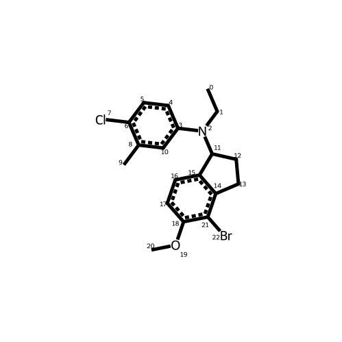 CCN(c1ccc(Cl)c(C)c1)C1CCc2c1ccc(OC)c2Br